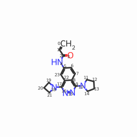 C=CC(=O)Nc1ccc2c(N3CCCC3)nnc(N3CCC3)c2c1